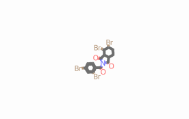 O=C(c1ccc(Br)cc1Br)N1C(=O)C2CCC(Br)C(Br)C2C1=O